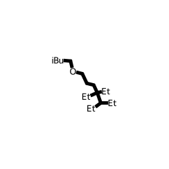 CCC(C)COCCCC(CC)(CC)C(CC)CC